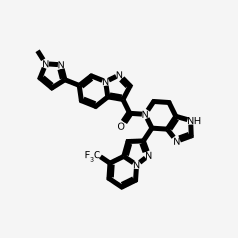 Cn1ccc(-c2ccc3c(C(=O)N4CCc5[nH]cnc5C4c4cc5c(C(F)(F)F)cccn5n4)cnn3c2)n1